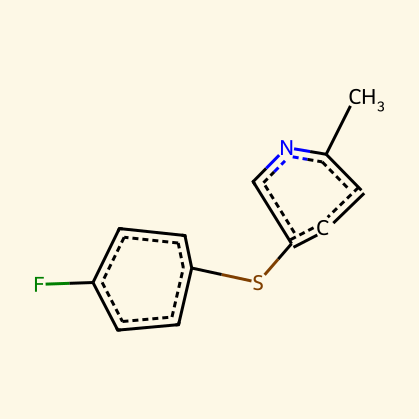 Cc1ccc(Sc2ccc(F)cc2)cn1